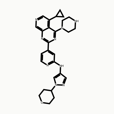 c1cc(-c2nc(N3CCNCC3)c3c(C4CC4)cncc3n2)cc(Nc2cnn(C3CCOCC3)c2)n1